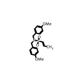 CC=CS(=O)(=O)N(Cc1ccc(OC)cc1)Cc1ccc(OC)cc1